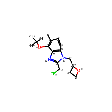 [2H]C([2H])([2H])Oc1c(C)ccc2c1nc(CCl)n2C[C@@H]1CCO1